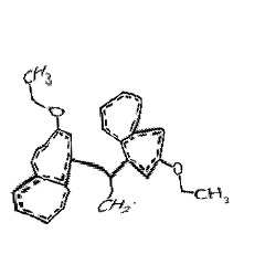 [CH2]C(c1cc(OCC)cc2ccccc12)c1cc(OCC)cc2ccccc12